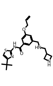 C=CCOc1cc(CNCC2CNC2)cc(C(=O)Nc2nc(C(C)(C)C)cs2)c1